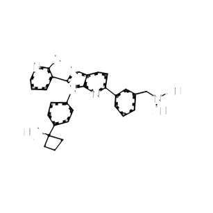 CN(C)Cc1cccc(-c2ccc3nc(-c4cccnc4N)n(-c4ccc(C5(N)CCC5)cc4)c3n2)c1